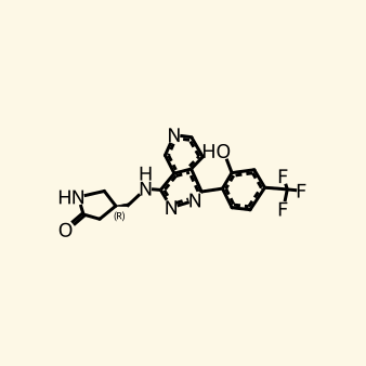 O=C1C[C@H](CNc2nnc(-c3ccc(C(F)(F)F)cc3O)c3ccncc23)CN1